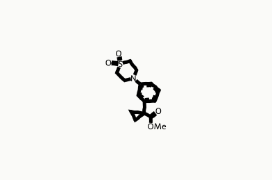 COC(=O)C1(c2cccc(N3CCS(=O)(=O)CC3)c2)CC1